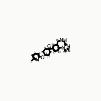 Cc1cccc(OC2CCC(Cl)(c3ccc4c(c3)CNCc3nncn3-4)CC2)n1